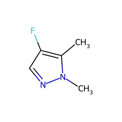 Cc1c(F)cnn1C